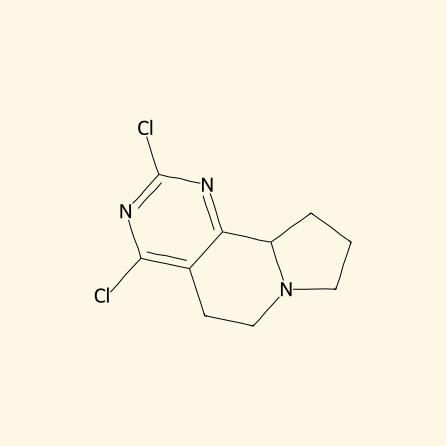 Clc1nc(Cl)c2c(n1)C1CCCN1CC2